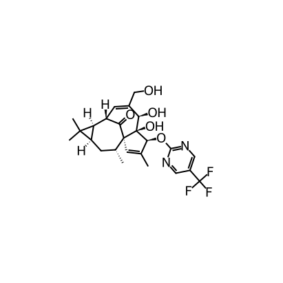 CC1=C[C@]23C(=O)[C@@H](C=C(CO)[C@@H](O)[C@]2(O)[C@H]1Oc1ncc(C(F)(F)F)cn1)[C@H]1[C@@H](C[C@H]3C)C1(C)C